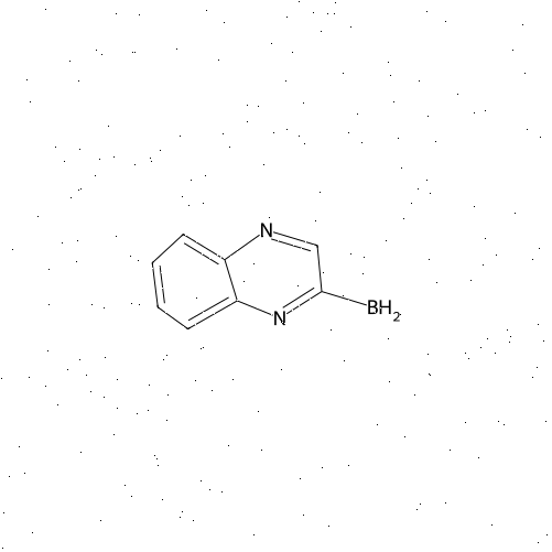 Bc1cnc2ccccc2n1